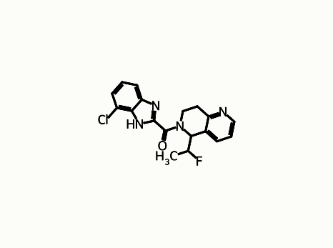 CC(F)C1c2cccnc2CCN1C(=O)c1nc2cccc(Cl)c2[nH]1